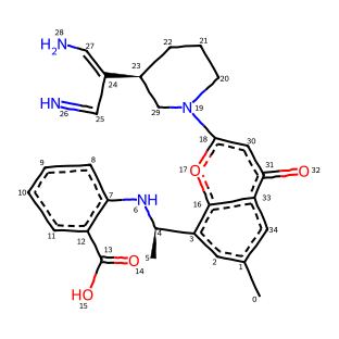 Cc1cc([C@@H](C)Nc2ccccc2C(=O)O)c2oc(N3CCC[C@H](/C(C=N)=C/N)C3)cc(=O)c2c1